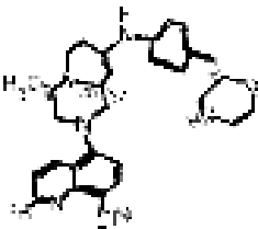 [2H]c1ccc2c(N3C[C@@H]4CC(Nc5ccc(C[C@H]6CNCCO6)cc5)CCN4[C@H](C)C3)ccc(C#N)c2n1